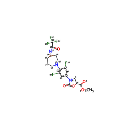 COC(=O)C1CN(c2cc(F)c(N3CCCS(=NC(=O)C(F)(F)F)CC3)c(F)c2)C(=O)O1